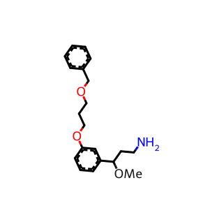 COC(CCN)c1cccc(OCCCOCc2ccccc2)c1